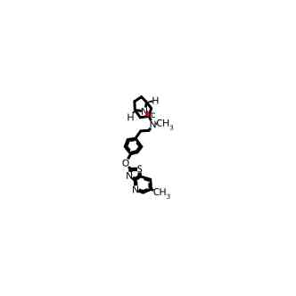 CC(=O)N1[C@@H]2CC[C@H]1CC(N(C)CCc1ccc(Oc3nc4ncc(C)cc4s3)cc1)C2